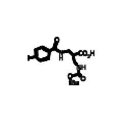 CC(C)(C)OC(=O)NCC(CNC(=O)c1ccc(I)cc1)C(=O)O